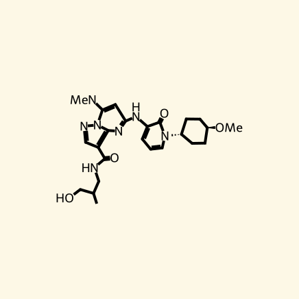 CNc1cc(Nc2cccn([C@H]3CC[C@H](OC)CC3)c2=O)nc2c(C(=O)NCC(C)CO)cnn12